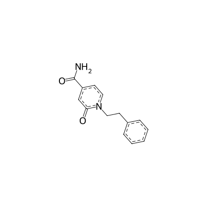 NC(=O)c1ccn(CCc2ccccc2)c(=O)c1